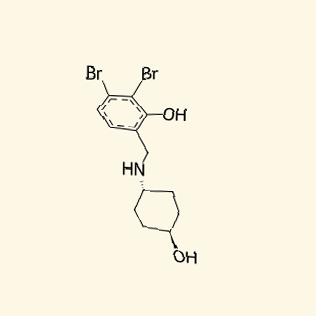 Oc1c(CN[C@H]2CC[C@H](O)CC2)ccc(Br)c1Br